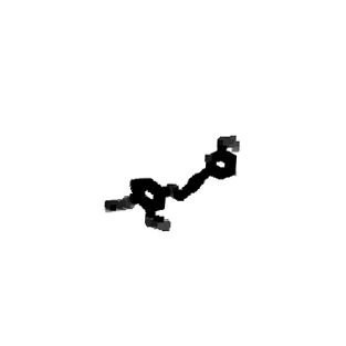 COc1ccc(OCC#Cc2cccc(C)n2)cc1OC